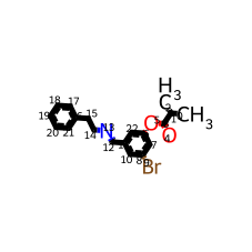 CC(C)C(=O)Oc1cc(Br)cc(C=NCCc2ccccc2)c1